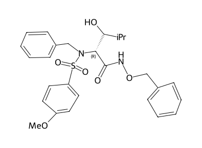 COc1ccc(S(=O)(=O)N(Cc2ccccc2)[C@@H](C(=O)NOCc2ccccc2)C(O)C(C)C)cc1